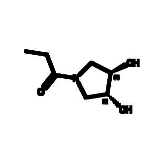 CCC(=O)N1C[C@@H](O)[C@H](O)C1